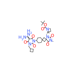 CN1C(=O)N(C[C@H]2CCN2C(=O)OC(C)(C)C)C2(CC3(CCC(N4C(=O)C(=C(N)N)C(=O)N(CC5CCC5)C4=O)CC3)C2)C1=O